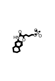 CS(=O)(=O)OCCCC1Oc2cc3c(cc2NC1=O)CCCC3